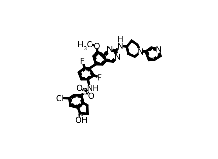 COc1cc(-c2c(F)ccc(NS(=O)(=O)c3cc(Cl)cc4c3CC[C@H]4O)c2F)cc2cnc(NC3CCN(c4cccnc4)CC3)nc12